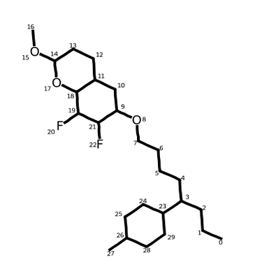 CCCC(CCCCOC1CC2CCC(OC)OC2C(F)C1F)C1CCC(C)CC1